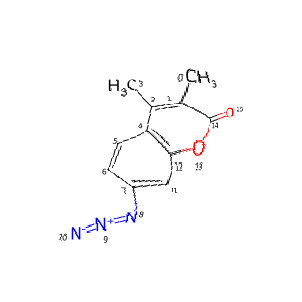 Cc1c(C)c2ccc(N=[N+]=[N-])cc2oc1=O